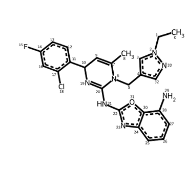 CCn1cc(CN2C(C)=CC(c3ccc(F)cc3Cl)N=C2Nc2nc3cccc(N)c3o2)cn1